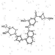 COc1cc(C(=O)N2CC(OC)C2)ccc1Nc1cc2c(-c3cnn(C4CCN(C(=O)O)C(C(C)(C)C)C4)c3)cccc2cn1